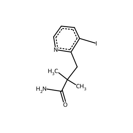 CC(C)(Cc1ncccc1I)C(N)=O